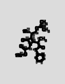 C[C@@H](C(=O)Sc1ccccn1)[C@@H]1[C@H]([C@@H](CO[SiH](C)C)C(C)(C)C)C(=O)N1CC(=O)OC(C)(C)C